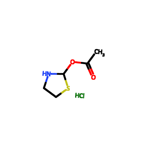 CC(=O)OC1NCCS1.Cl